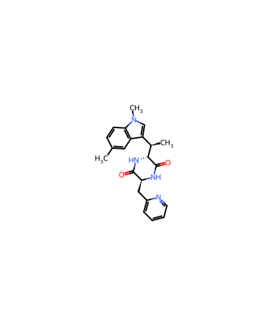 Cc1ccc2c(c1)c([C@@H](C)[C@H]1NC(=O)[C@H](Cc3ccccn3)NC1=O)cn2C